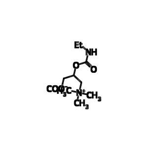 CCNC(=O)OC(CC(=O)[O-])C[N+](C)(C)C